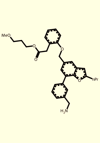 CCCc1cc2cc(COc3ccccc3CC(=O)OCCCOC)cc(-c3cccc(CN)c3)c2o1